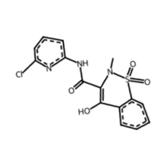 CN1C(C(=O)Nc2cccc(Cl)n2)=C(O)c2ccccc2S1(=O)=O